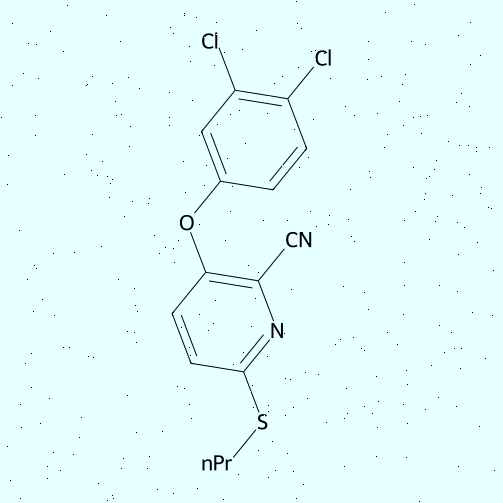 CCCSc1ccc(Oc2ccc(Cl)c(Cl)c2)c(C#N)n1